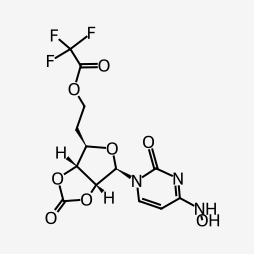 O=C1O[C@@H]2[C@H](O1)[C@@H](CCOC(=O)C(F)(F)F)O[C@H]2n1ccc(NO)nc1=O